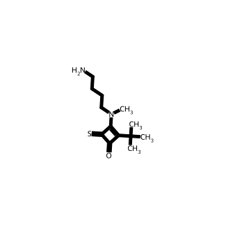 CN(CCCCN)c1c(C(C)(C)C)c(=O)c1=S